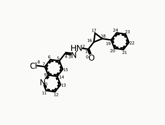 O=C(NN=Cc1cc(Cl)c2ncccc2c1)C1CC1c1ccccc1